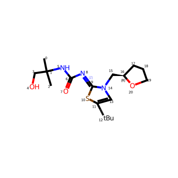 CC(C)(CO)NC(=O)/N=c1\sc(C(C)(C)C)cn1C[C@H]1CCCO1